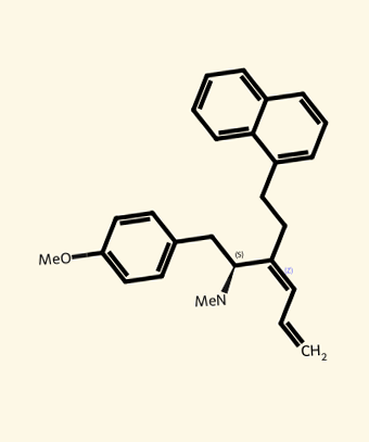 C=C/C=C(/CCc1cccc2ccccc12)[C@H](Cc1ccc(OC)cc1)NC